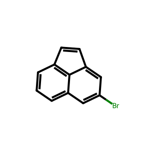 Brc1cc2c3c(cccc3c1)C=C2